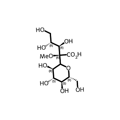 CO[C@@](C(=O)O)(C1O[C@H](CO)[C@@H](O)[C@H](O)[C@H]1O)[C@H](O)[C@H](O)CO